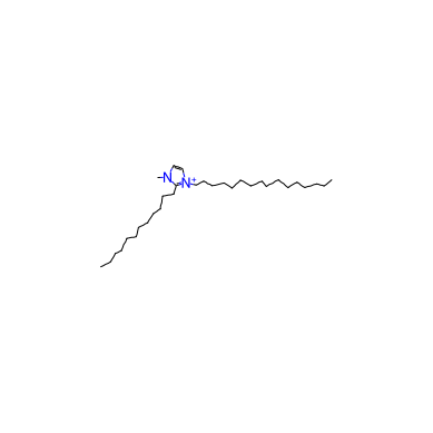 CCCCCCCCCCCCCCCC[n+]1ccn(C)c1CCCCCCCCCCCC